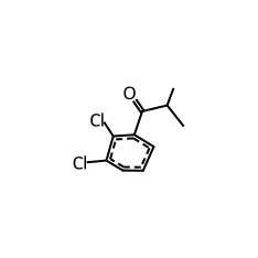 CC(C)C(=O)c1cccc(Cl)c1Cl